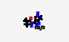 CCOC(=O)n1nc2c(c1NC(=O)C1([Si](C)(C)C)CC1)CNC2(C)C